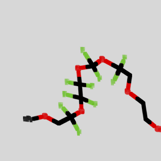 CCCOCC(F)(F)OC(F)(F)C(F)(F)OC(F)(F)OC(F)(F)COCCO